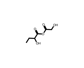 CCC(O)C(=O)OC(=O)CO